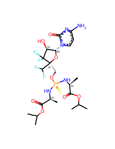 CC(C)OC(=O)[C@H](C)NP(=S)(N[C@@H](C)C(=O)OC(C)C)OC[C@@]1(C(F)F)O[C@@H](n2ccc(N)nc2=O)[C@H](O)C1(F)F